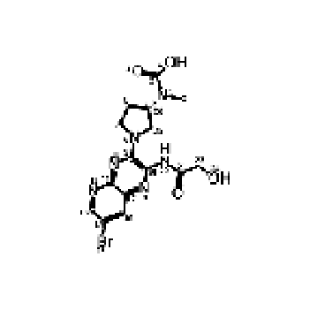 CN(C(=O)O)[C@H]1CCN(c2nc3ncc(Br)cc3nc2NC(=O)CO)C1